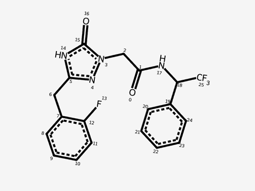 O=C(Cn1nc(Cc2ccccc2F)[nH]c1=O)NC(c1ccccc1)C(F)(F)F